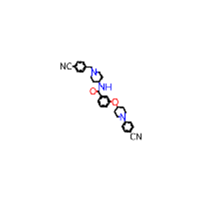 N#Cc1ccc(CN2CCC(NC(=O)c3cccc(OC4CCN(c5ccc(C#N)cc5)CC4)c3)CC2)cc1